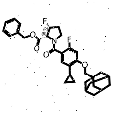 O=C(OCc1ccccc1)[C@@H]1[C@H](F)CCN1C(=O)c1cc(C2CC2)c(OCC23CC4CC(CC(C4)C2)C3)cc1F